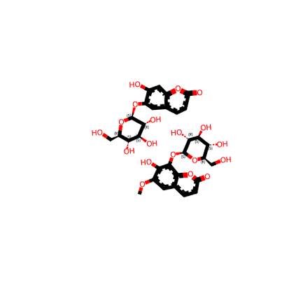 COc1cc2ccc(=O)oc2c(O[C@@H]2O[C@H](CO)[C@@H](O)[C@H](O)[C@H]2O)c1O.O=c1ccc2cc(O[C@@H]3O[C@H](CO)[C@@H](O)[C@H](O)[C@H]3O)c(O)cc2o1